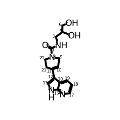 O=C(NCC(O)CO)N1CC=C(c2c[nH]c3ncccc23)CC1